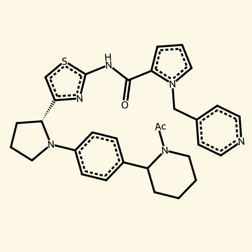 CC(=O)N1CCCCC1c1ccc(N2CCC[C@@H]2c2csc(NC(=O)c3cccn3Cc3ccncc3)n2)cc1